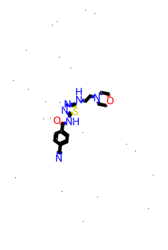 N#Cc1ccc(C(=O)Nc2nnc(NCCN3CCOCC3)s2)cc1